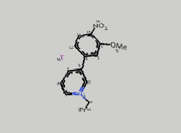 COc1cc(-c2ccc[n+](CC(C)C)c2)ccc1[N+](=O)[O-].[I-]